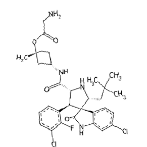 CC(C)(C)C[C@H]1N[C@@H](C(=O)N[C@H]2C[C@@](C)(OC(=O)CN)C2)[C@H](c2cccc(Cl)c2F)[C@@]12C(=O)Nc1cc(Cl)ccc12